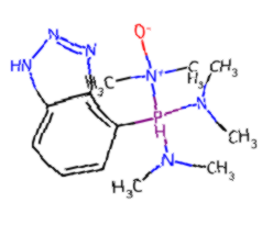 CN(C)[PH](c1cccc2[nH]nnc12)(N(C)C)[N+](C)(C)[O-]